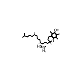 C[SiH2]O.Cc1c(C)c2c(c(C)c1O)CC[C@@](C)(CCC[C@H](C)CCC[C@H](C)CCCC(C)C)O2